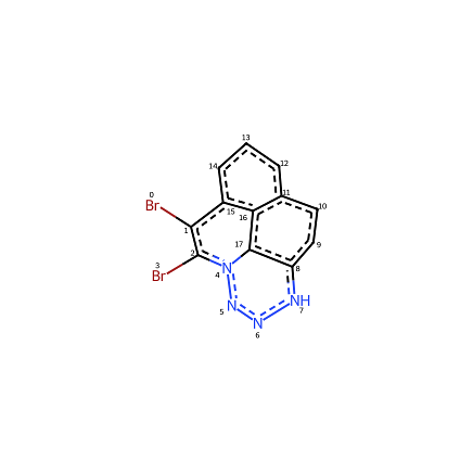 Brc1c(Br)n2nn[nH]c3ccc4cccc1c4c3-2